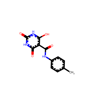 Cc1ccc(NC(=O)c2c(O)[nH]c(=O)[nH]c2=O)cc1